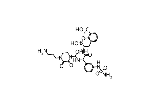 NCCCN1CCN(C(O)N[C@H](C(=O)N[C@H]2Cc3cccc(C(=O)O)c3OB2O)c2cccc(NS(N)(=O)=O)c2)C(=O)C1=O